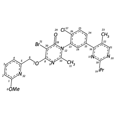 COc1cccc(COc2nc(C)n(-c3cc(-c4nc(C(C)C)ncc4C)ccc3Cl)c(=O)c2Br)n1